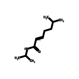 CC(C)CC/C=C/C(=O)NC(C)C